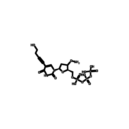 NOC1C[C@H](n2cc(C#CCCO)c(=O)[nH]c2=O)O[C@@H]1COP(=O)(O)OP(=O)(O)OP(=O)(O)O